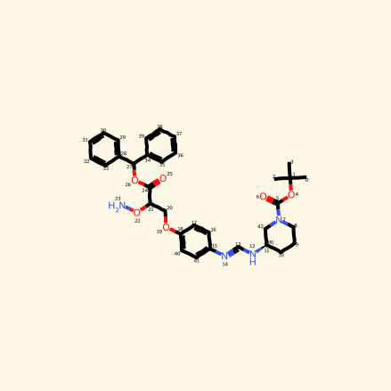 CC(C)(C)OC(=O)N1CCC[C@@H](NC=Nc2ccc(OCC(ON)C(=O)OC(c3ccccc3)c3ccccc3)cc2)C1